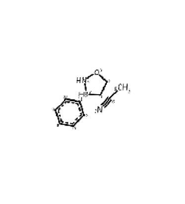 B1CCON1.CC#N.c1ccccc1